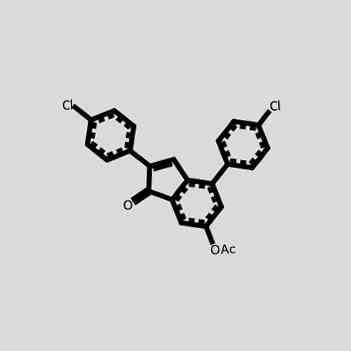 CC(=O)Oc1cc2c(c(-c3ccc(Cl)cc3)c1)C=C(c1ccc(Cl)cc1)C2=O